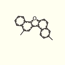 Cc1ccc2c(ccc3oc4c5ccccc5c(C)cc4c32)c1